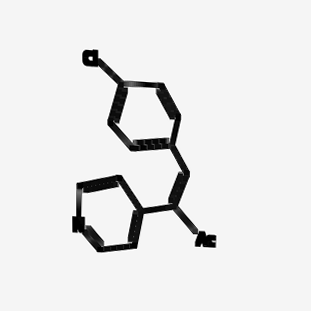 CC(=O)C(=Cc1ccc(Cl)cc1)c1ccncc1